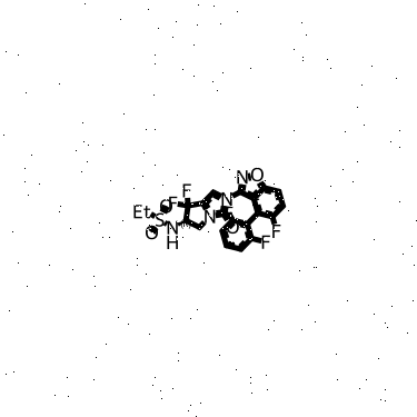 CCS(=O)(=O)N[C@@H]1Cn2c(cn(-c3noc4ccc(F)c(-c5c(F)cccc5F)c34)c2=O)C1(F)F